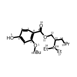 CCCCOc1cc(O)ccc1C(=O)OC[C@@H](CC(C)C)N(CC)CC